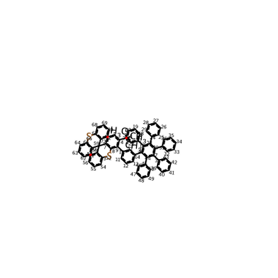 CC(C)(C)c1ccc2c(c1-c1cccc(-c3c(-c4ccccc4)c(-c4ccccc4)c(-c4ccccc4)c(-c4ccccc4)c3-c3ccccc3)c1)Sc1ccccc1C21c2ccccc2Sc2ccccc21